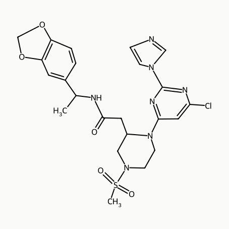 CC(NC(=O)CC1CN(S(C)(=O)=O)CCN1c1cc(Cl)nc(-n2ccnc2)n1)c1ccc2c(c1)OCO2